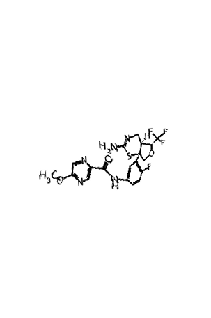 COc1cnc(C(=O)Nc2ccc(F)c([C@]34CO[C@H](C(F)(F)F)[C@@H]3CN=C(N)S4)c2)cn1